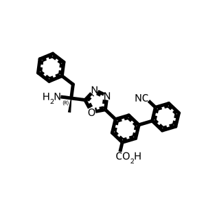 C[C@@](N)(Cc1ccccc1)c1nnc(-c2cc(C(=O)O)cc(-c3ccccc3C#N)c2)o1